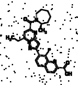 CCc1cc(C(=O)N2CCCCC[C@H]2C)nc2cc(-c3ccc4ccc(C(=O)O)nc4c3F)nn12